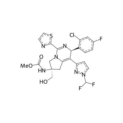 COC(=O)N[C@]1(CO)CC2=C(c3ccn(C(F)F)n3)[C@H](c3ccc(F)cc3Cl)N=C(c3nccs3)N2C1